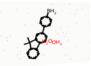 Bc1ccc(-c2ccc3c(c2)C(C)(C)c2ccccc2-3)cc1.O.O